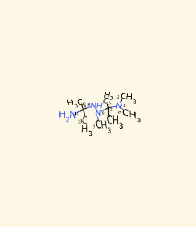 CN(C)C(C)(C)N(C)NC(C)(C)N